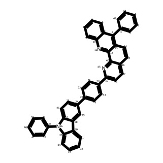 c1ccc(-c2c3ccccc3nc3c2ccc2ccc(-c4ccc(-c5ccc6c(c5)c5ccccc5n6-c5ccccc5)cc4)nc23)cc1